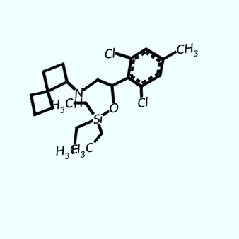 CC[Si](CC)(CC)OC(CNC1CCC12CCC2)c1c(Cl)cc(C)cc1Cl